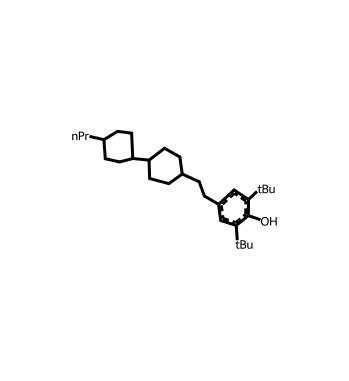 CCCC1CCC(C2CCC(CCc3cc(C(C)(C)C)c(O)c(C(C)(C)C)c3)CC2)CC1